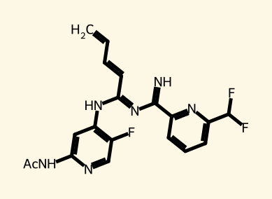 C=C/C=C/C(=N\C(=N)c1cccc(C(F)F)n1)Nc1cc(NC(C)=O)ncc1F